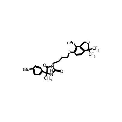 CCCc1c(OCCCCN2C(=O)NC(C)(c3ccc(C(C)(C)C)cc3)C2=O)ccc2c1COC2(C(F)(F)F)C(F)(F)F